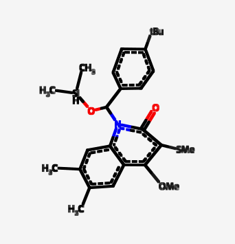 COc1c(SC)c(=O)n(C(O[SiH](C)C)c2ccc(C(C)(C)C)cc2)c2cc(C)c(C)cc12